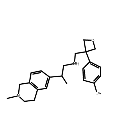 CC(C)c1ccc(C2(CNCC(C)c3ccc4c(c3)CCN(C)C4)COC2)cc1